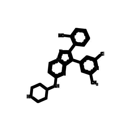 Cc1cc(-c2c(-c3ccccc3C#N)nn3ccc(NC4CCNCC4)nc23)cc(Cl)n1